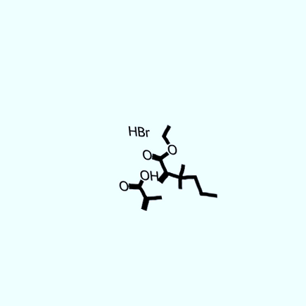 Br.C=C(C(=O)OCC)C(C)(C)CCC.C=C(C)C(=O)O